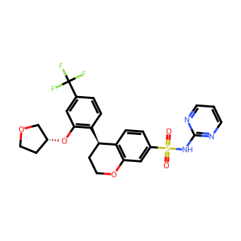 O=S(=O)(Nc1ncccn1)c1ccc2c(c1)OCC[C@H]2c1ccc(C(F)(F)F)cc1O[C@@H]1CCOC1